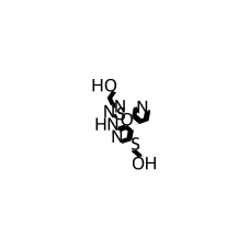 OCCSc1cnc(Nc2nc(CCO)ns2)c(Oc2cccnc2)c1